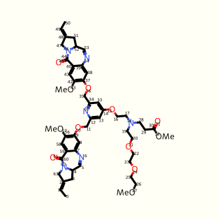 C/C=C1\CC2C=Nc3cc(OCc4cc(OCCN(CCOCCOCCOC)CCC(=O)OC)cc(COc5cc6c(cc5OC)C(=O)N5C/C(=C/C)CC5C=N6)n4)c(OC)cc3C(=O)N2C1